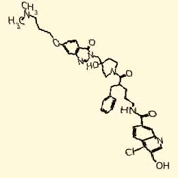 CN(C)CCCOc1ccc2c(=O)n(CC3(O)CCN(C(=O)C(CCCNC(=O)c4ccc5c(Cl)c(CO)cnc5c4)Cc4ccccc4)CC3)cnc2c1